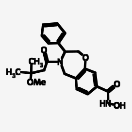 COC(C)(C)CC(=O)N1Cc2ccc(C(=O)NO)cc2OCC1c1ccccc1